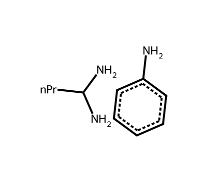 CCCC(N)N.Nc1ccccc1